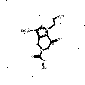 CCOC(=O)c1nn(CCO)c2c1CN(C(=O)OC(C)(C)C)CC2=O